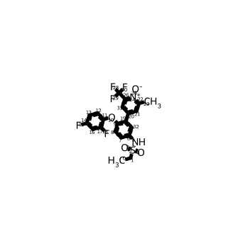 CCS(=O)(=O)Nc1ccc(Oc2ccc(F)cc2F)c(-c2cc(C)[n+]([O-])c(C(F)(F)F)c2)c1